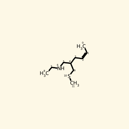 C/C=C\CC(CNCC)CSC